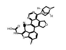 CN1C[C@H]2C[C@@H]1CN2c1ncnc2c(F)c(-c3ccc(F)c4sc(NC(=O)O)c(C#N)c34)c3c(c12)COC3